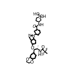 C[C@H](NC(=O)C(C)(F)F)[C@H](Oc1ccc2c(cnn2-c2cccc(C(=O)N[C@H]3CCS(O)(O)C3)c2)c1)c1ccc2c(c1)OCCO2